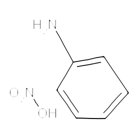 Nc1ccccc1.O=[N+]([O-])O